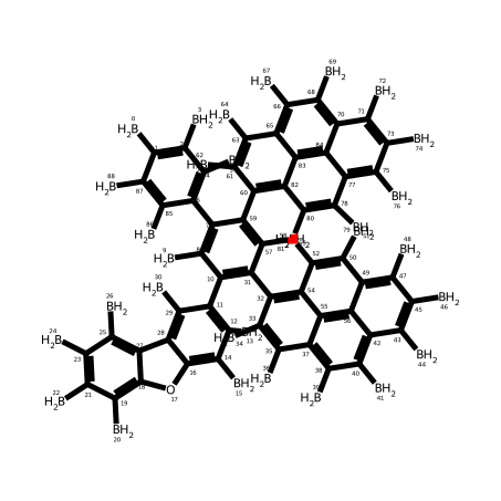 Bc1c(B)c(B)c(-c2c(B)c(-c3c(B)c(B)c4oc5c(B)c(B)c(B)c(B)c5c4c3B)c(-c3c(B)c(B)c4c(B)c(B)c5c(B)c(B)c(B)c6c(B)c(B)c3c4c56)c(B)c2-c2c(B)c(B)c3c(B)c(B)c4c(B)c(B)c(B)c5c(B)c(B)c2c3c45)c(B)c1B